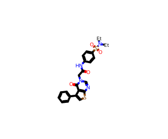 CCN(CC)S(=O)(=O)c1ccc(NC(=O)Cn2cnc3scc(-c4ccccc4)c3c2=O)cc1